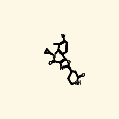 Cc1c(Br)ccc2c3oc(C4CCNC(=O)C4)nc3c(=O)n(C3CC3)c12